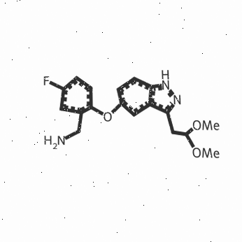 COC(Cc1n[nH]c2ccc(Oc3ccc(F)cc3CN)cc12)OC